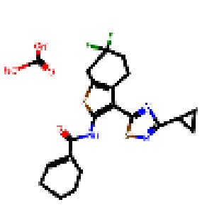 O=C(Nc1sc2c(c1-c1nc(C3CC3)ns1)CCC(F)(F)C2)C1=CCCCC1.O=C(O)O